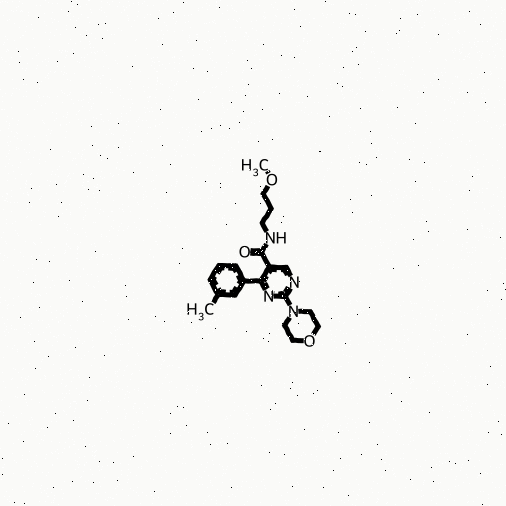 COCCCNC(=O)c1cnc(N2CCOCC2)nc1-c1cccc(C)c1